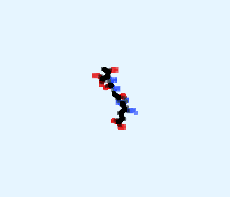 CC(O)C(NC(=O)NCc1nc(C(N)CCC(=O)O)no1)C(=O)O